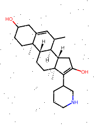 CC1C=C2CC(O)CC[C@]2(C)[C@H]2CC[C@]3(C)C(C4CCCNC4)=C(O)C[C@H]3[C@H]12